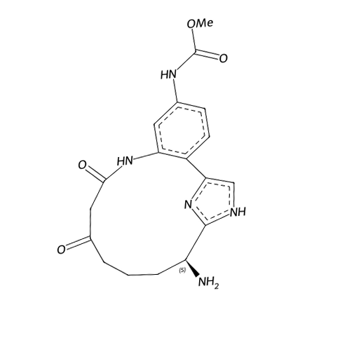 COC(=O)Nc1ccc2c(c1)NC(=O)CC(=O)CCC[C@H](N)c1nc-2c[nH]1